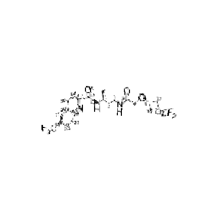 C=C(CCNC(=O)CO[C@H]1C[C@H](C(F)(F)F)C1)NC(=O)c1ccc2cc(C(F)(F)F)ccc2n1